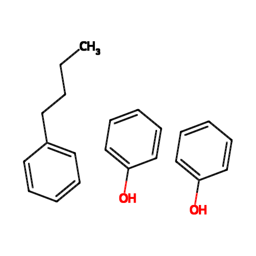 CCCCc1ccccc1.Oc1ccccc1.Oc1ccccc1